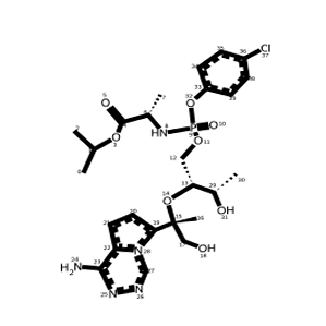 CC(C)OC(=O)[C@H](C)NP(=O)(OC[C@@H](O[C@](C)(CO)c1ccc2c(N)nncn12)[C@H](C)O)Oc1ccc(Cl)cc1